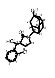 O=C1C(C(O)c2ccccc2Cl)CCN1C1C2CC3CC1CC(O)(C3)C2